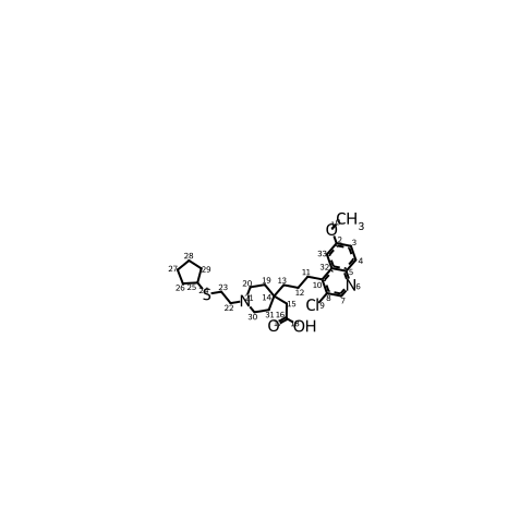 COc1ccc2ncc(Cl)c(CCCC3(CC(=O)O)CCN(CCSC4CCCC4)CC3)c2c1